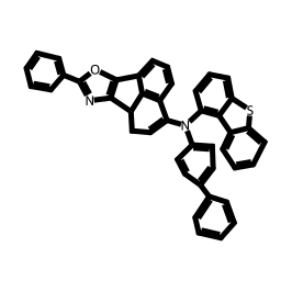 C1=C(N(c2ccc(-c3ccccc3)cc2)c2cccc3sc4ccccc4c23)c2cccc3c2C(C1)c1nc(-c2ccccc2)oc1-3